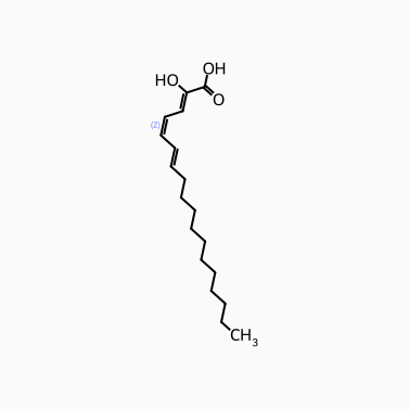 CCCCCCCCCCCC=C/C=C\C=C(O)C(=O)O